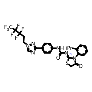 CC(C)c1ccccc1N1C(=O)CS/C1=N\C(=O)Nc1ccc(-c2ncn(CCC(F)(F)C(F)(F)C(F)(F)F)n2)cc1